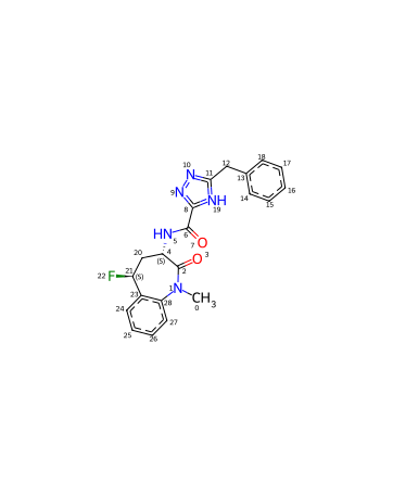 CN1C(=O)[C@@H](NC(=O)c2nnc(Cc3ccccc3)[nH]2)C[C@H](F)c2ccccc21